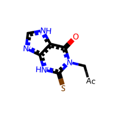 CC(=O)Cn1c(=S)[nH]c2nc[nH]c2c1=O